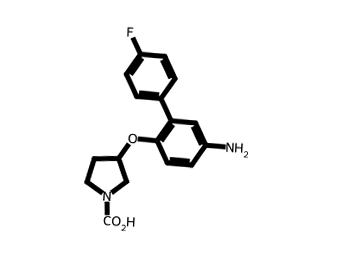 Nc1ccc(OC2CCN(C(=O)O)C2)c(-c2ccc(F)cc2)c1